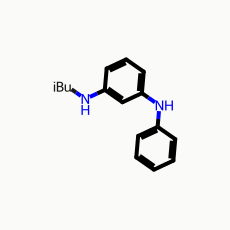 CCC(C)Nc1cccc(Nc2ccccc2)c1